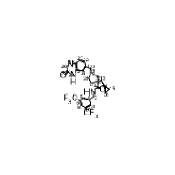 O=C(NCc1cc(C(F)(F)F)cc(C(F)(F)F)c1)C1(CC2CC2)CCN(Cc2ccc3ncc(=O)[nH]c3c2)C1